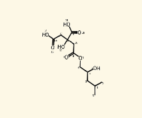 CC(C)CC(O)COC(=O)CC(O)(CC(=O)O)C(=O)O